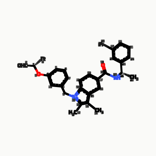 CC[C@@H](C=O)Oc1cccc(Cn2c(C)c(C)c3cc(C(=O)N[C@@H](C)c4cccc(C(C)C)c4)ccc32)c1